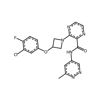 Cc1cc(NC(=O)c2nccnc2N2CC(Oc3ccc(F)c(Cl)c3)C2)cnn1